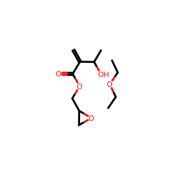 C=C(C(=O)OCC1CO1)C(C)O.CCOCC